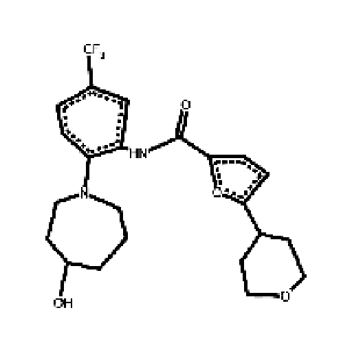 O=C(Nc1cc(C(F)(F)F)ccc1N1CCCC(O)CC1)c1ccc(C2CCOCC2)o1